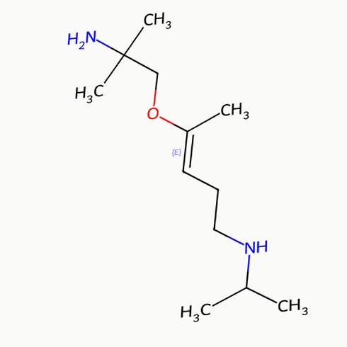 C/C(=C\CCNC(C)C)OCC(C)(C)N